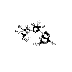 CCOC(=O)C(C)NP(=O)(OC[C@H]1O[C@@H](n2cnc3c(OCC)nc(N)nc32)[C@](C)(O)[C@@H]1O)SCC